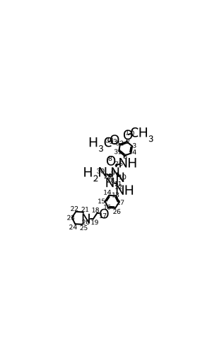 COc1ccc(NC(=O)n2nc(Nc3ccc(OCCN4CCCCC4)cc3)nc2N)cc1OC